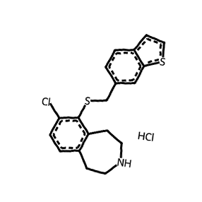 Cl.Clc1ccc2c(c1SCc1ccc3ccsc3c1)CCNCC2